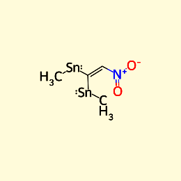 [CH3][Sn][C](=C[N+](=O)[O-])[Sn][CH3]